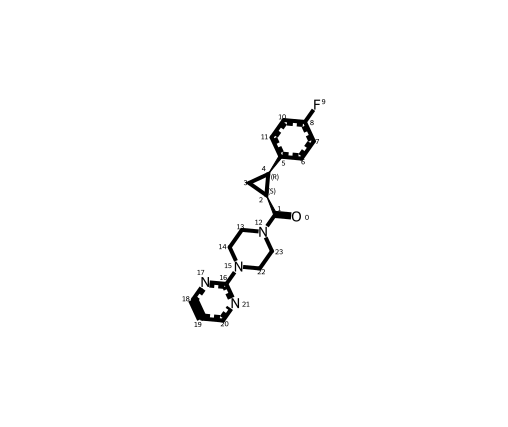 O=C([C@H]1C[C@H]1c1ccc(F)cc1)N1CCN(c2nc#ccn2)CC1